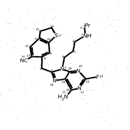 CC(C)NCCCn1c(Cc2cc3c(cc2C#N)CCS3)nc2c(N)nc(F)nc21